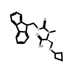 CN(C(=O)OCC1c2ccccc2-c2ccccc21)[C@@H](COC1CCC1)C(=O)O